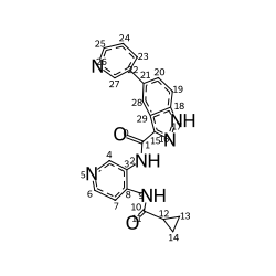 O=C(Nc1cnccc1NC(=O)C1CC1)c1n[nH]c2ccc(-c3cccnc3)cc12